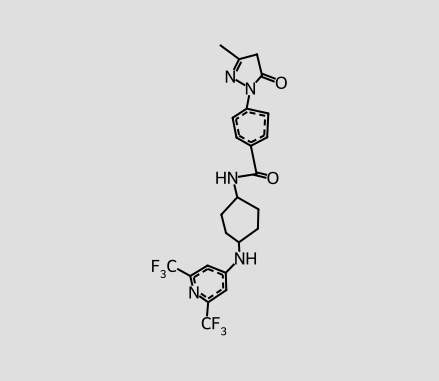 CC1=NN(c2ccc(C(=O)NC3CCC(Nc4cc(C(F)(F)F)nc(C(F)(F)F)c4)CC3)cc2)C(=O)C1